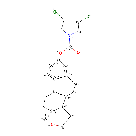 C[C@]12CCC3c4ccc(OC(=O)N(CCCl)CCCl)cc4CCC3C1CCO2